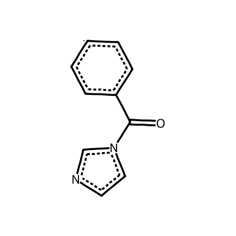 O=C(c1cc[c]cc1)n1ccnc1